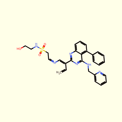 C=C/C(=C\N=C/CS(=O)(=O)NCCO)c1nc(NCc2ccccn2)c2c(-c3ccccc3)cccc2n1